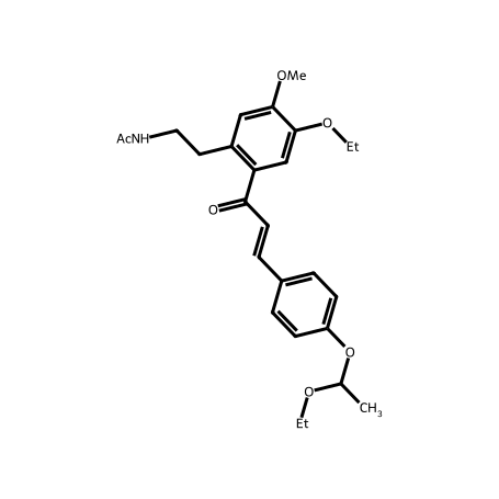 CCOc1cc(C(=O)/C=C/c2ccc(OC(C)OCC)cc2)c(CCNC(C)=O)cc1OC